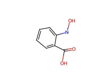 O=C(O)c1ccccc1[N]O